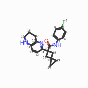 O=C(Nc1ccc(F)cc1)C1(c2ccc3c(n2)CCCN3)CC2(CC2)C1